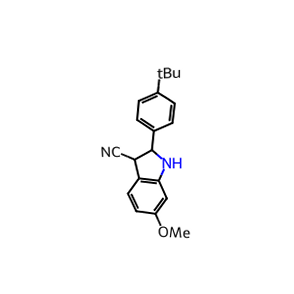 COc1ccc2c(c1)NC(c1ccc(C(C)(C)C)cc1)C2C#N